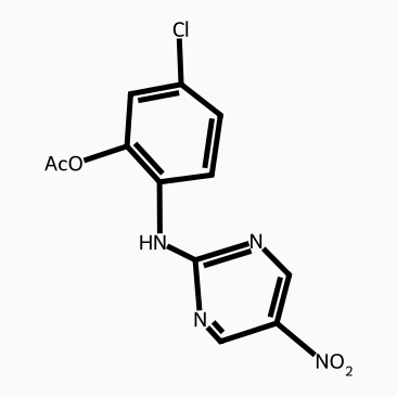 CC(=O)Oc1cc(Cl)ccc1Nc1ncc([N+](=O)[O-])cn1